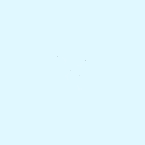 CC(C)OCC(C)(COC(C)C)O[C@@H](C)CO